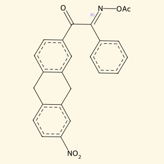 CC(=O)O/N=C(/C(=O)c1ccc2c(c1)Cc1cc([N+](=O)[O-])ccc1C2)c1ccccc1